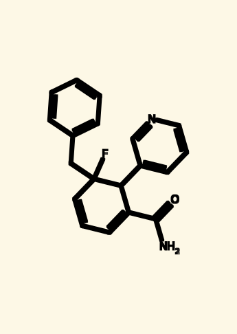 NC(=O)C1=CC=CC(F)(Cc2ccccc2)C1c1cccnc1